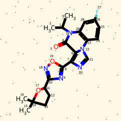 CC(C)n1c(=O)c2c(-c3nc(C4CCC(C)(C)O4)no3)ncn2c2ccc(F)cc21